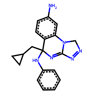 Nc1ccc2c(c1)N1CN=NC1=NC2(CC1CC1)Nc1ccccc1